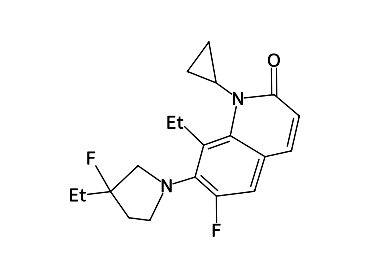 CCc1c(N2CCC(F)(CC)C2)c(F)cc2ccc(=O)n(C3CC3)c12